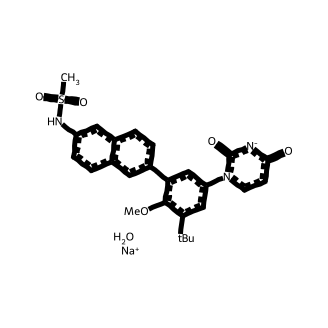 COc1c(-c2ccc3cc(NS(C)(=O)=O)ccc3c2)cc(-n2ccc(=O)[n-]c2=O)cc1C(C)(C)C.O.[Na+]